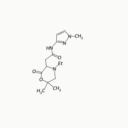 CCN1CC(C)(C)OC(=O)C1CC(=O)Nc1ccn(C)n1